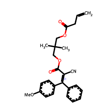 C=CCC(=O)OCC(C)(C)COC(=O)/C(C#N)=C(/c1ccccc1)c1ccc(OC)cc1